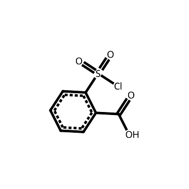 O=C(O)c1ccccc1S(=O)(=O)Cl